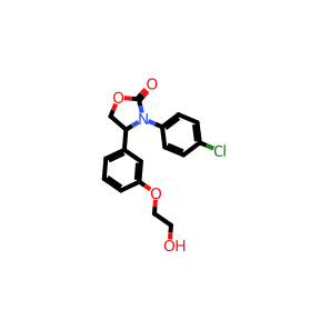 O=C1OCC(c2cccc(OCCO)c2)N1c1ccc(Cl)cc1